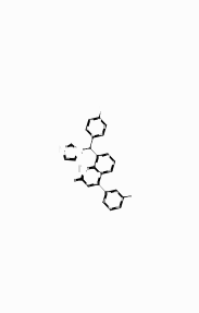 O=c1cc(-c2cccc(Cl)c2)c2cccc(C(c3ccc(Cl)cc3)n3ccnc3)c2[nH]1